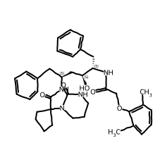 Cc1cccc(C)c1OCC(=O)N[C@@H](Cc1ccccc1)[C@@H](O)C[C@H](Cc1ccccc1)NC(=O)C1(N2CCCNC2=O)CCCC1